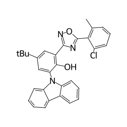 Cc1cccc(Cl)c1-c1nc(-c2cc(C(C)(C)C)cc(-n3c4ccccc4c4ccccc43)c2O)no1